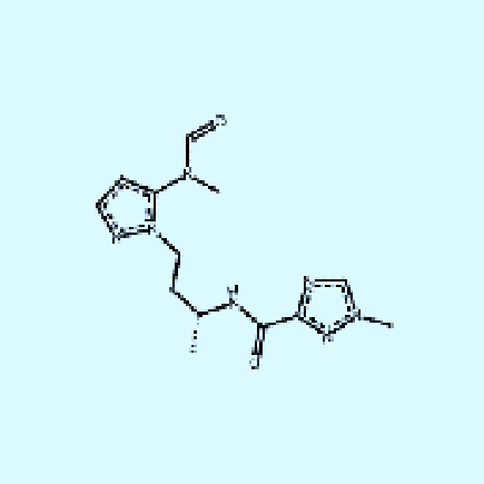 C[C@H](CCn1nccc1N(C)C=O)NC(=O)c1ncn(C)n1